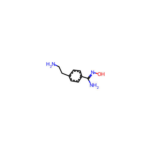 NCCc1ccc(C(N)=NO)cc1